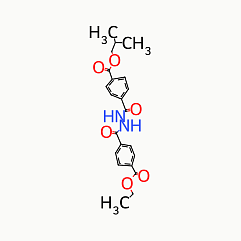 CCOC(=O)c1ccc(C(=O)NNC(=O)c2ccc(C(=O)OCC(C)C)cc2)cc1